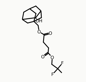 CC(F)(F)COC(=O)CCC(=O)OCC12CC3CC(C1)C(O)C(C3)C2